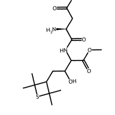 COC(=O)C(NC(=O)[C@@H](N)CC(=O)O)C(O)CC1C(C)(C)SC1(C)C